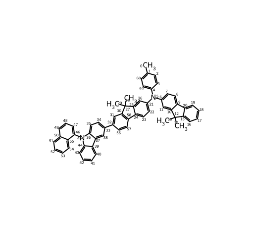 Cc1ccc(N(c2ccc3c(c2)C(C)(C)c2ccccc2-3)c2ccc3c(c2)C(C)(C)c2cc(-c4ccc5c(c4)c4ccccc4n5-c4cccc5ccccc45)ccc2-3)cc1